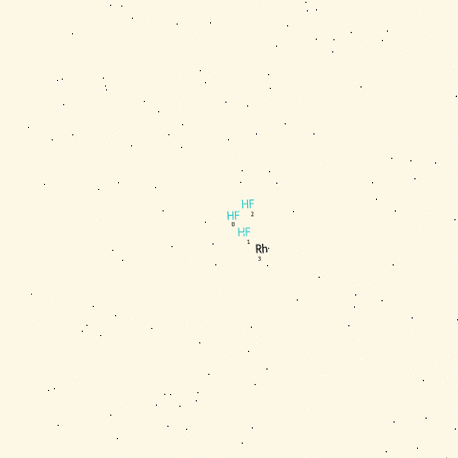 F.F.F.[Rh]